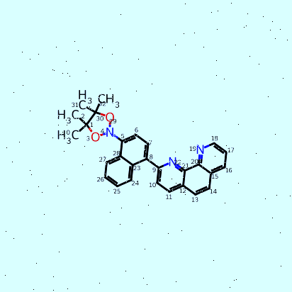 CC1(C)ON(c2ccc(-c3ccc4ccc5cccnc5c4n3)c3ccccc23)OC1(C)C